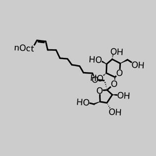 CCCCCCCC/C=C\CCCCCCCCOC[C@@]1(O[C@H]2O[C@H](CO)[C@@H](O)[C@H](O)[C@H]2O)O[C@H](CO)[C@@H](O)[C@@H]1O